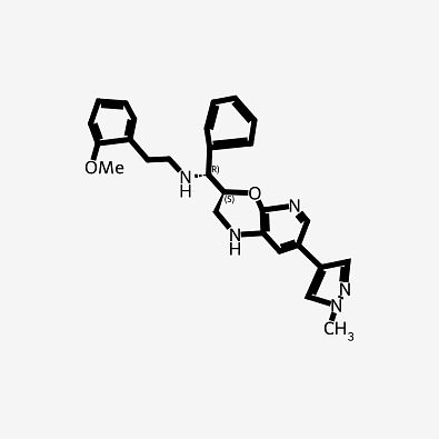 COc1ccccc1CCN[C@H](c1ccccc1)[C@@H]1CNc2cc(-c3cnn(C)c3)cnc2O1